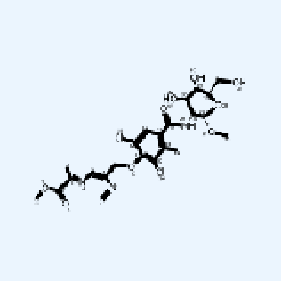 C=N/C(=C\N=C(/C)C(=O)OC)COc1c(Cl)cc(C(=O)N[C@H]2[C@@H](OC)O[C@H](CO)[C@@H](O)[C@@H]2O)c(C)c1Cl